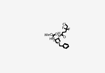 COC(=O)N[C@H]1CN(Cc2ccccc2)C[C@H]1NC(=O)CCC(F)(F)CCl